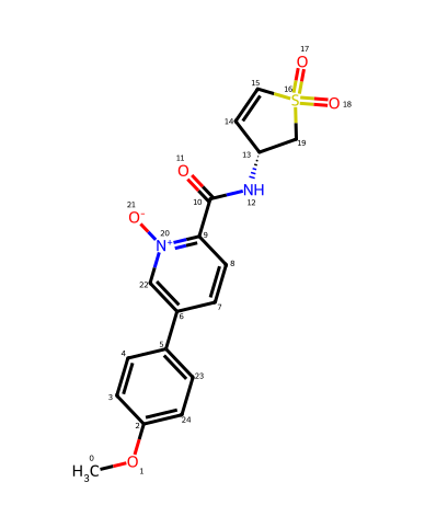 COc1ccc(-c2ccc(C(=O)N[C@@H]3C=CS(=O)(=O)C3)[n+]([O-])c2)cc1